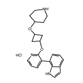 Cl.c1cnc(OC2CC(OC3CCNCC3)C2)c(-c2cccc3cc[nH]c23)c1